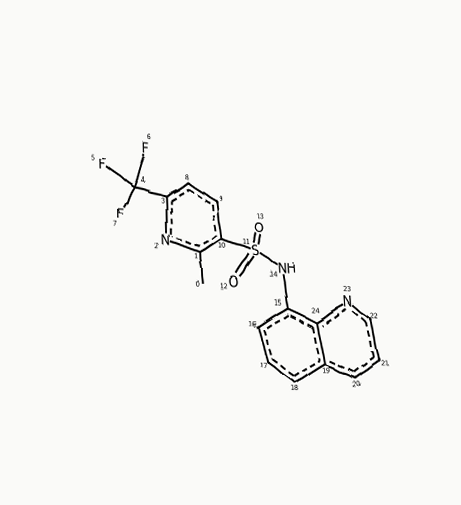 Cc1nc(C(F)(F)F)ccc1S(=O)(=O)Nc1cccc2cccnc12